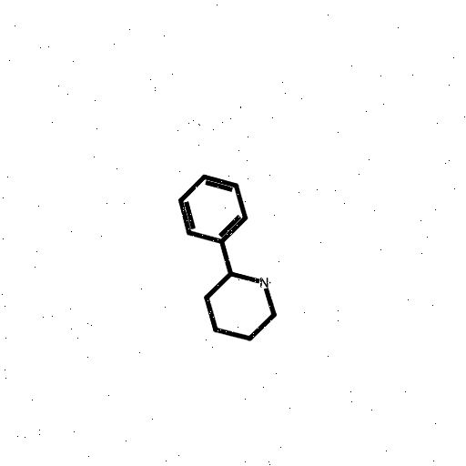 c1ccc(C2CCCC[N]2)cc1